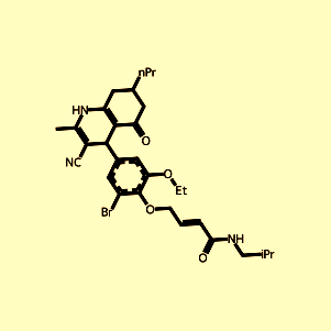 CCCC1CC(=O)C2=C(C1)NC(C)=C(C#N)C2c1cc(Br)c(OC/C=C/C(=O)NCC(C)C)c(OCC)c1